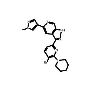 Cn1cc(-c2cc3c(-c4ccc(Br)c(N5CCCCC5)n4)n[nH]c3cn2)cn1